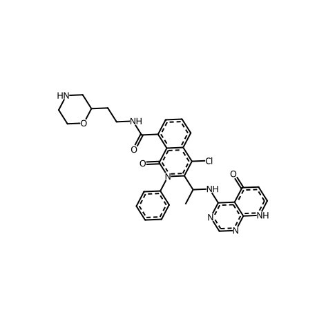 CC(Nc1ncnc2[nH]ccc(=O)c12)c1c(Cl)c2cccc(C(=O)NCCC3CNCCO3)c2c(=O)n1-c1ccccc1